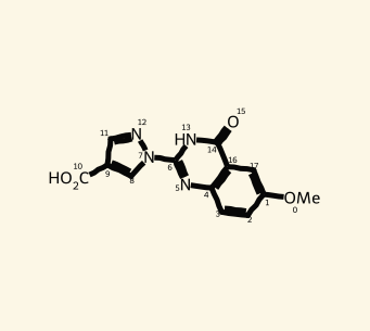 COc1ccc2nc(-n3cc(C(=O)O)cn3)[nH]c(=O)c2c1